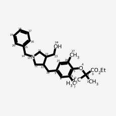 CCOC(=O)C(C)(C)Oc1c(C)cc(CC2CN(Cc3ccccc3)CC2CO)cc1C